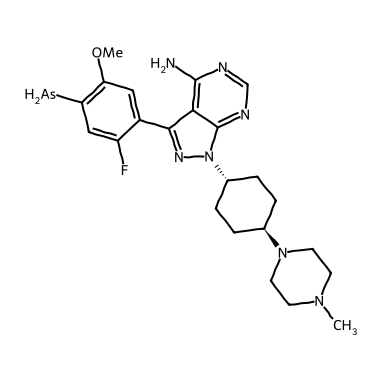 COc1cc(-c2nn([C@H]3CC[C@H](N4CCN(C)CC4)CC3)c3ncnc(N)c23)c(F)cc1[AsH2]